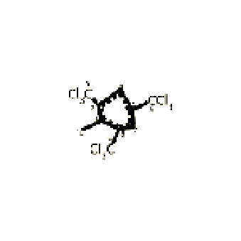 [CH2]c1c(C(Cl)(Cl)Cl)cc(C(Cl)(Cl)Cl)cc1C(Cl)(Cl)Cl